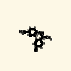 Cc1ccc(N[C@@H](C)c2ccc(Cl)cc2)nn1